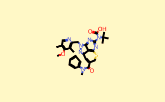 COc1c(C)cnc(Cn2nc3c4c(nc(N(C(=O)O)C(C)(C)C)nc42)SCC(C(=O)N(C)c2ccccc2)=C3)c1C